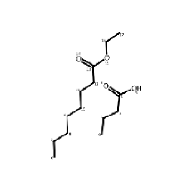 CCCC(=O)O.CCCCCCCC(=O)OCC